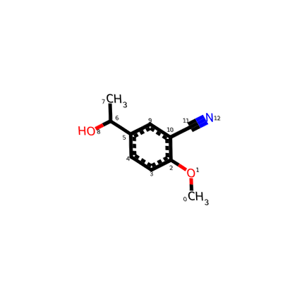 COc1ccc(C(C)O)cc1C#N